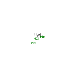 Br.Br.Cl.[AlH3]